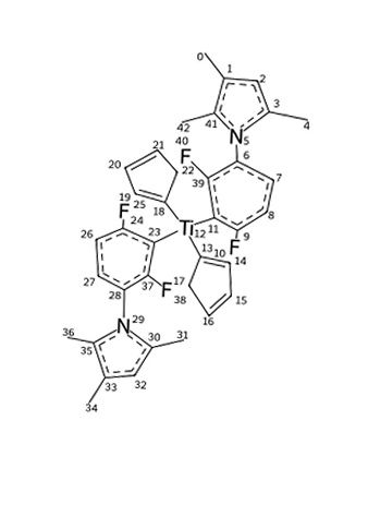 Cc1cc(C)n(-c2ccc(F)[c]([Ti]([C]3=CC=CC3)([C]3=CC=CC3)[c]3c(F)ccc(-n4c(C)cc(C)c4C)c3F)c2F)c1C